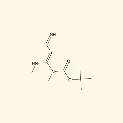 CN/C(=C\C=N)N(C)C(=O)OC(C)(C)C